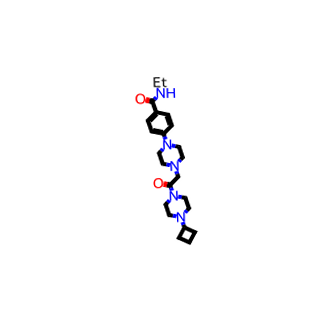 CCNC(=O)c1ccc(N2CCN(CC(=O)N3CCN(C4CCC4)CC3)CC2)cc1